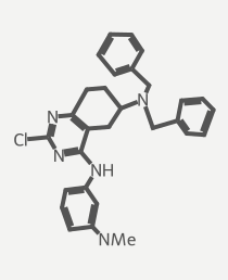 CNc1cccc(Nc2nc(Cl)nc3c2CC(N(Cc2ccccc2)Cc2ccccc2)CC3)c1